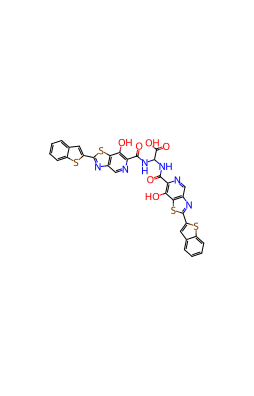 O=C(NC(NC(=O)c1ncc2nc(-c3cc4ccccc4s3)sc2c1O)C(=O)O)c1ncc2nc(-c3cc4ccccc4s3)sc2c1O